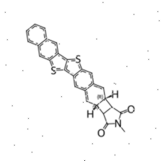 CN1C(=O)C2C(C1=O)[C@@H]1C=c3cc4c(cc3=C[C@H]21)sc1c2cc3ccccc3cc2sc41